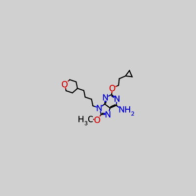 COc1nc2c(N)nc(OCCC3CC3)nc2n1CCCCC1CCOCC1